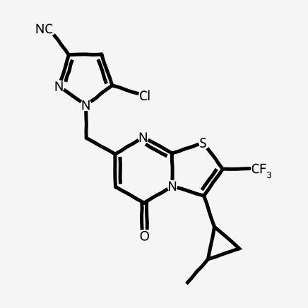 CC1CC1c1c(C(F)(F)F)sc2nc(Cn3nc(C#N)cc3Cl)cc(=O)n12